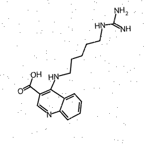 N=C(N)NCCCCCNc1c(C(=O)O)cnc2ccccc12